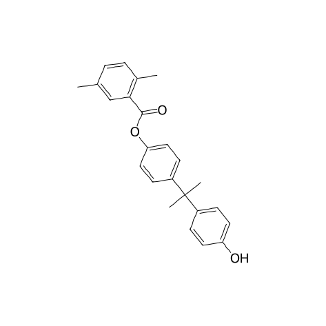 Cc1ccc(C)c(C(=O)Oc2ccc(C(C)(C)c3ccc(O)cc3)cc2)c1